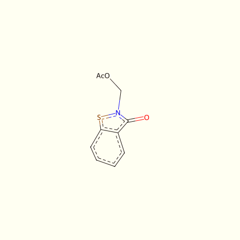 CC(=O)OCn1sc2ccccc2c1=O